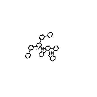 c1ccc(-c2cccc(-c3cc(-c4cccc(-c5ccccc5)c4)nc(-n4c5ccccc5c5c6c(ccc54)c4ccccc4n4c5ccccc5cc64)c3)c2)cc1